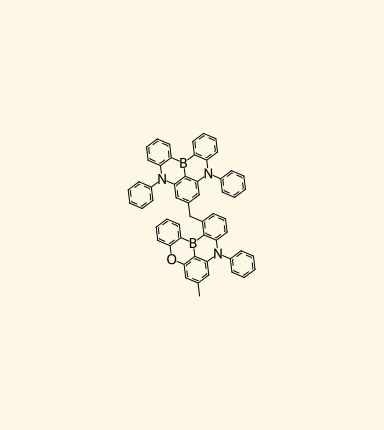 Cc1cc2c3c(c1)N(c1ccccc1)c1cccc(Cc4cc5c6c(c4)N(c4ccccc4)c4ccccc4B6c4ccccc4N5c4ccccc4)c1B3c1ccccc1O2